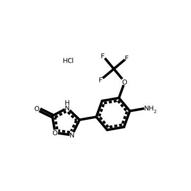 Cl.Nc1ccc(-c2noc(=O)[nH]2)cc1OC(F)(F)F